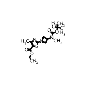 CCOC(=O)c1sc(N2CC(N(C)C(=O)OC(C)(C)C)C2)nc1C